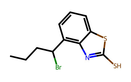 CCCC(Br)c1cccc2sc(S)nc12